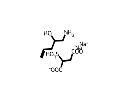 C=CCC(O)CN.O=C([O-])CC(C(=O)[O-])S(=O)(=O)O.[Na+].[Na+]